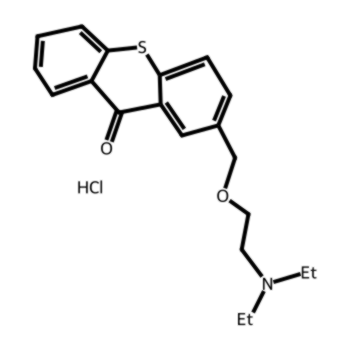 CCN(CC)CCOCc1ccc2sc3ccccc3c(=O)c2c1.Cl